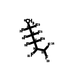 CC(F)(F)C(F)(F)C(F)(F)C(F)[C](F)F